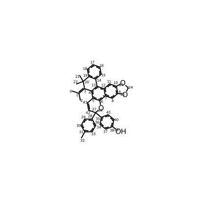 CC(C)=C1c2c3c(c4cc5c(cc4c2-c2ccccc2C1(C)C)OCO5)OC(c1ccc(C)cc1)(c1ccc(O)cc1)C=C3